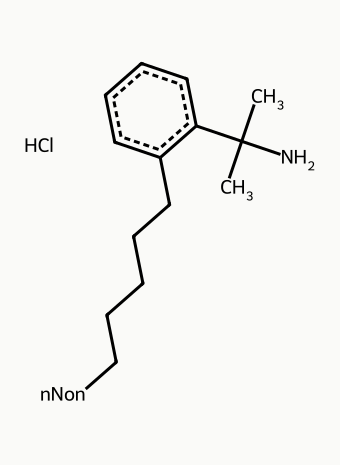 CCCCCCCCCCCCCCc1ccccc1C(C)(C)N.Cl